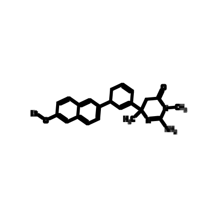 CCOc1ccc2cc(C3C=C(C4(C)CC(=O)N(C)C(N)=N4)C=CC3)ccc2c1